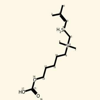 CC(C)=C[SiH2]C[Si](C)(C)CCCCCOC(=O)O